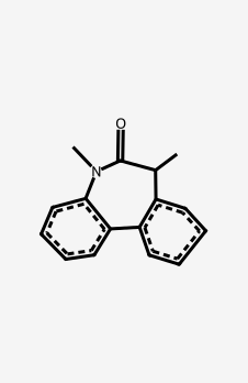 CC1C(=O)N(C)c2ccccc2-c2ccccc21